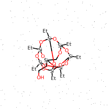 CC[Si]12OC[Si]3(CCO)O[Si]4(CC)O[Si](CC)(O1)O[Si]1(CC)O[Si](CC)(O2)O[Si](CC)(O3)O[Si](CC)(O4)O1